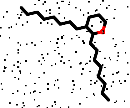 CCCCCCCCC1CCCOC1CCCCCCCC